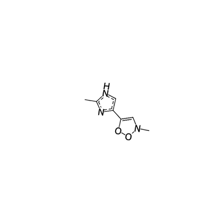 Cc1nc(C2=CN(C)OO2)c[nH]1